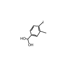 Cc1cc(C(O)O)ccc1I